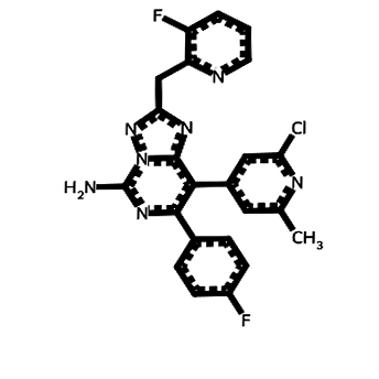 Cc1cc(-c2c(-c3ccc(F)cc3)nc(N)n3nc(Cc4ncccc4F)nc23)cc(Cl)n1